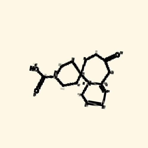 O=C1CCC2(CCN(C(=O)O)CC2)N2CC=CC=C2C1